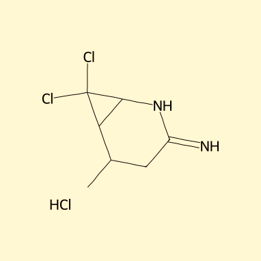 CC1CC(=N)NC2C1C2(Cl)Cl.Cl